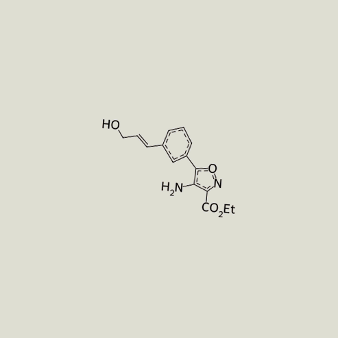 CCOC(=O)c1noc(-c2cccc(/C=C/CO)c2)c1N